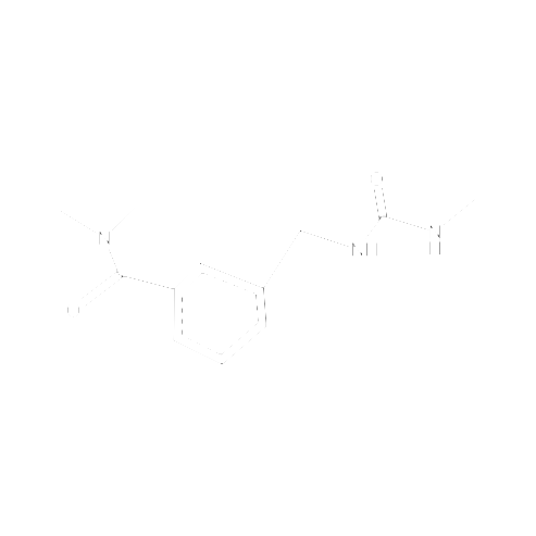 CNC(=O)NCc1cccc(C(=O)N(C)C)c1